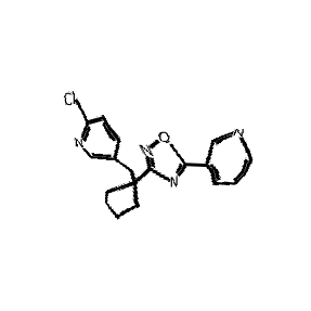 Clc1ccc(C2(c3noc(-c4cccnc4)n3)CCC2)cn1